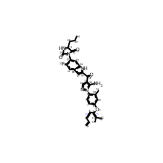 C=C/C=C\C(Oc1ccc(-n2ncc(C(=O)c3cc4cc(F)c(N5C(=O)NC(CCC)C5=O)cc4[nH]3)c2N)c(C)c1)=C(/C)F